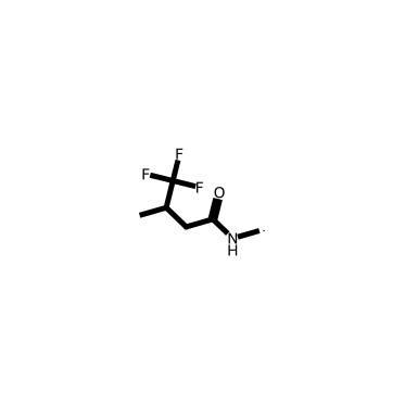 [CH2]NC(=O)CC(C)C(F)(F)F